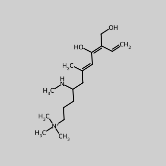 C=C/C(CO)=C(O)\C=C(/C)CC(CCC[N+](C)(C)C)NC